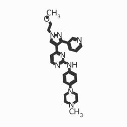 COCCn1cc(-c2ccnc(Nc3ccc(N4CCN(C)CC4)cc3)n2)c(-c2cccnc2)n1